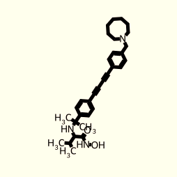 CC(C)C(NC(C)(C)c1ccc(C#CC#Cc2ccc(CN3CCCCCCC3)cc2)cc1)C(=O)NO